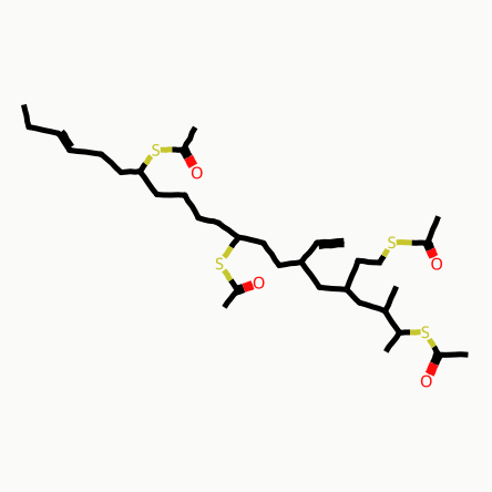 C=CC(CCC(CCCCC(CC/C=C/CC)SC(C)=O)SC(C)=O)CC(CCSC(C)=O)CC(C)C(C)SC(C)=O